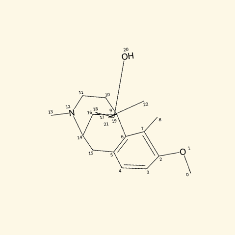 COc1ccc2c(c1C)C13CCN(C)C(C2)C1CCC(O)C3C